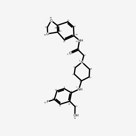 O=C(CN1CCC(Nc2ccc(F)cc2CO)CC1)Nc1ccc2c(c1)OCO2